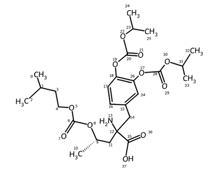 CC(C)CCOC(=O)O[C@@H](C)CC(N)(Cc1ccc(OC(=O)OC(C)C)c(OC(=O)OC(C)C)c1)C(=O)O